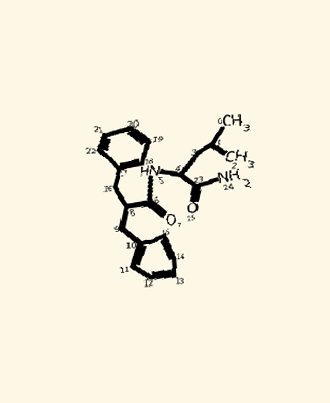 CC(C)CC(NC(=O)C(Cc1ccccc1)Cc1ccccc1)C(N)=O